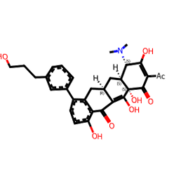 CC(=O)C1=C(O)[C@@H](N(C)C)[C@@H]2C[C@@H]3Cc4c(-c5cccc(CCCO)c5)ccc(O)c4C(=O)C3=C(O)[C@]2(O)C1=O